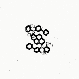 Cc1ccccc1N(c1cc(-c2ccccc2)ccc1C(C)(C)C)c1ccc2ccc3c(N(c4ccccc4C)c4cc(-c5ccccc5)ccc4C(C)(C)C)ccc4ccc1c2c43